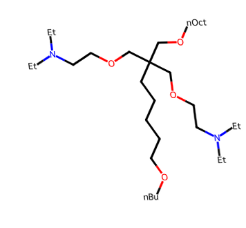 CCCCCCCCOCC(CCCCCOCCCC)(COCCN(CC)CC)COCCN(CC)CC